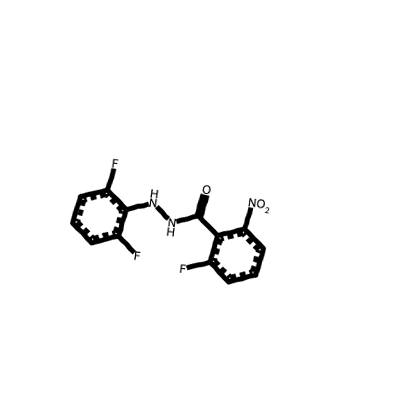 O=C(NNc1c(F)cccc1F)c1c(F)cccc1[N+](=O)[O-]